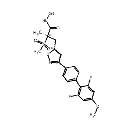 COc1cc(F)c(-c2ccc(C3=NO[C@@H](C[C@](C)(C(=O)NO)S(C)(=O)=O)C3)cc2)c(F)c1